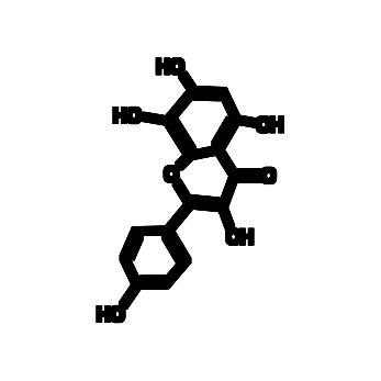 O=c1c(O)c(-c2ccc(O)cc2)oc2c(O)c(O)cc(O)c12